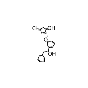 OC(Cc1ccccc1)c1cccc(OC[C@@H]2C[C@H](Cl)C[C@H]2O)c1